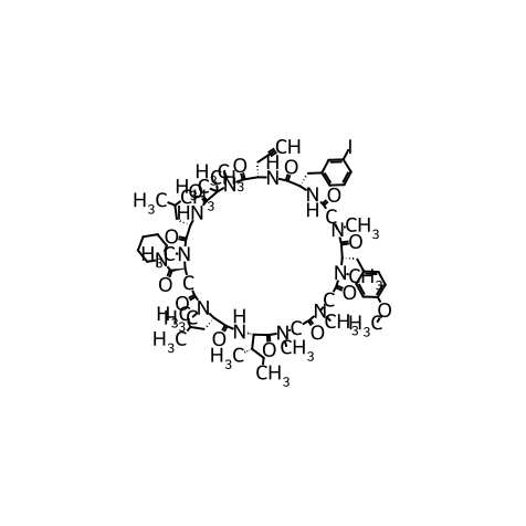 C#CC[C@@H]1NC(=O)[C@H](Cc2cccc(I)c2)NC(=O)CN(C)C(=O)[C@H](Cc2ccc(OC)cc2)N(C)C(=O)CN(C)C(=O)CN(C)C(=O)[C@H]([C@@H](C)CC)NC(=O)[C@H](CC(C)C)N(C)C(=O)C[C@@H](C(=O)N2CCCCC2)N(C)C(=O)[C@H](CC(C)C)NC(=O)C(C)(C)N(C)C1=O